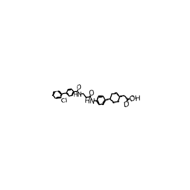 O=C(O)CC1CCC(c2ccc(NC(=O)CCNC(=O)c3ccc(-c4ccccc4Cl)cc3)cc2)CC1